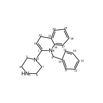 C1=C(N2CCNCC2)N(Cc2ccccc2)c2ccccc2C1